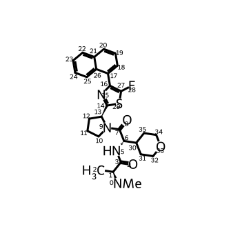 CN[C@@H](C)C(=O)N[C@H](C(=O)N1CCC[C@H]1c1nc(-c2cccc3ccccc23)c(F)s1)C1CCOCC1